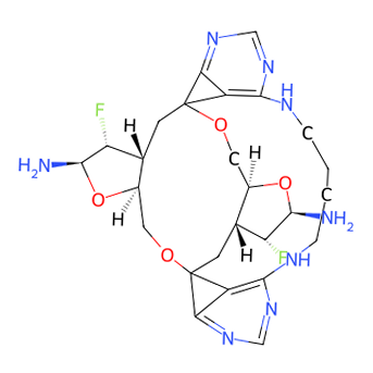 N[C@@H]1O[C@@H]2COC34C[C@H]5[C@@H](F)[C@H](N)O[C@@H]5COC5(C[C@H]2[C@H]1F)c1ncnc(c15)NCCCCNc1ncnc3c14